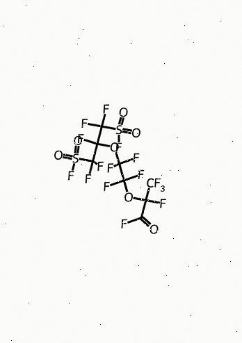 O=C(F)C(F)(OC(F)(F)C(F)(F)OC(F)(C(F)(F)S(=O)(=O)F)C(F)(F)S(=O)(=O)F)C(F)(F)F